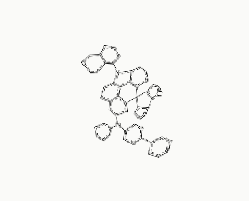 c1ccc(-c2ccc(N(c3ccccc3)c3cc4c5c(ccc6c5c5c(cccc5n6-c5cccc6ccccc56)C45c4ccccc4-c4ccccc45)c3)cc2)cc1